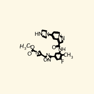 COC(=O)N1CC(c2nc(-c3cc(F)c(C)c(NC(=O)c4cnn5ccc(N6CCNCC6)cc45)c3)no2)C1